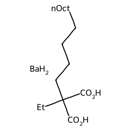 CCCCCCCCCCCCC(CC)(C(=O)O)C(=O)O.[BaH2]